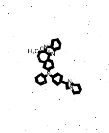 CC1(C)CCc2cc(N(c3ccccc3)c3ccc(-c4cn5ccccc5n4)cc3)ccc2-c2nc3ccccc3nc21